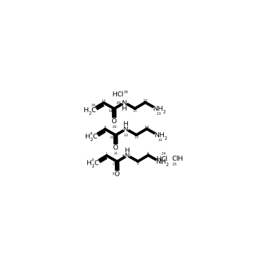 C=CC(=O)NCCN.C=CC(=O)NCCN.C=CC(=O)NCCN.Cl.Cl.Cl